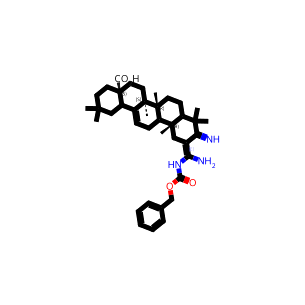 CC1(C)CC[C@]2(C(=O)O)CC[C@]3(C)C(=CCC4[C@@]5(C)C/C(=C(/N)NC(=O)OCc6ccccc6)C(=N)C(C)(C)C5CC[C@]43C)C2C1